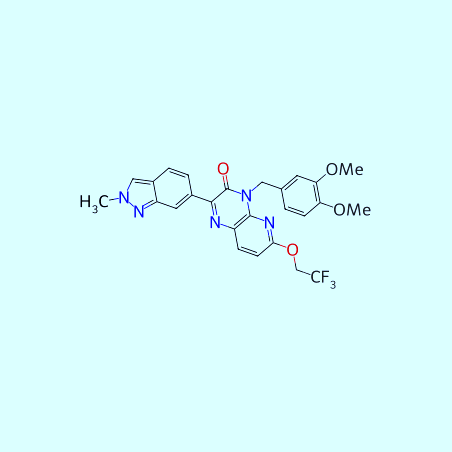 COc1ccc(Cn2c(=O)c(-c3ccc4cn(C)nc4c3)nc3ccc(OCC(F)(F)F)nc32)cc1OC